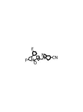 N#Cc1ccc2c(cnn2CC2CC3(C(=O)N4CC(F)CC4c4cccc(F)c4)CC2C3)c1